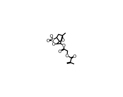 C=C(C)C(=O)OCC(=O)OC1C2OS(=O)(=O)C3CC1(C)OC23